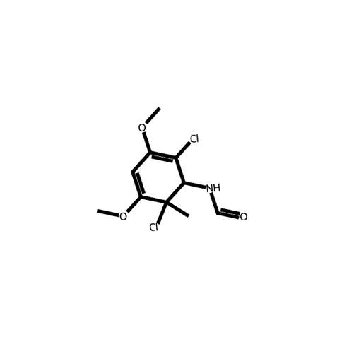 COC1=CC(OC)=C(Cl)C(NC=O)C1(C)Cl